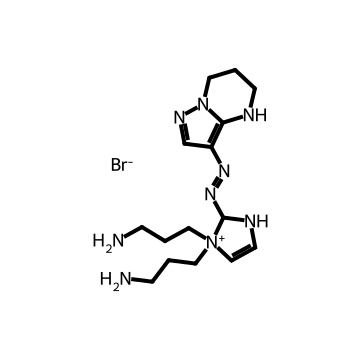 NCCC[N+]1(CCCN)C=CNC1N=Nc1cnn2c1NCCC2.[Br-]